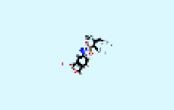 C=C(/C(C#N)=C\C)S(=O)(=O)Nc1ccc2c(c1)B(O)OC2